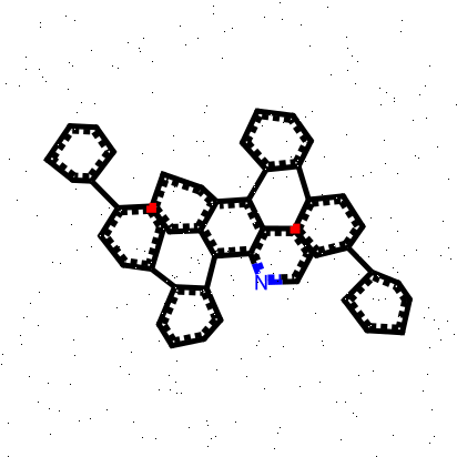 c1ccc(-c2ccc(-c3ccccc3-c3c4ccccc4c(-c4ccccc4-c4ccc(-c5ccccc5)cc4)c4ncccc34)cc2)cc1